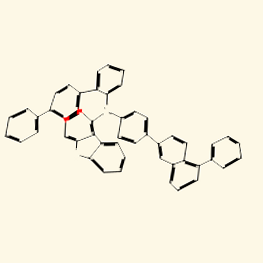 c1ccc(-c2ccc(-c3ccccc3N(c3ccc(-c4ccc5c(-c6ccccc6)cccc5c4)cc3)c3cccc4oc5ccccc5c34)cc2)cc1